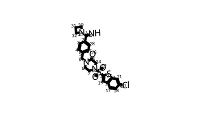 N=C(c1ccc(CN2CCN(S(=O)(=O)c3cc4ccc(Cl)cc4s3)CC2=O)cc1)N1CCC1